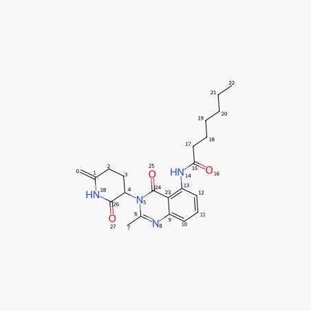 C=C1CCC(n2c(C)nc3cccc(NC(=O)CCCCCC)c3c2=O)C(=O)N1